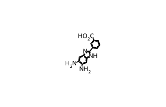 Nc1cc2nc(-c3cccc(C(=O)O)c3)[nH]c2cc1N